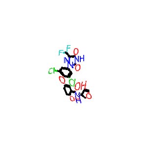 O=c1[nH]c(=O)n(-c2cc(Cl)c(Oc3ccc(O)c(C(O)N[C@H]4CCOC4)c3)c(Cl)c2)nc1C(F)F